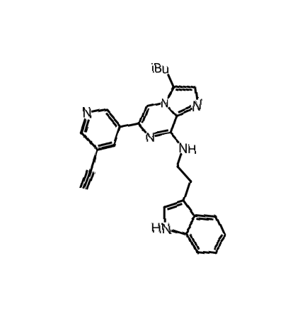 C#Cc1cncc(-c2cn3c(C(C)CC)cnc3c(NCCc3c[nH]c4ccccc34)n2)c1